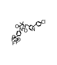 CC1(C)C(=O)N(c2ccc(S(=O)(=O)C(F)(F)F)cc2)C(=O)N1Cc1ccnc(-c2ccc(Cl)cc2)c1